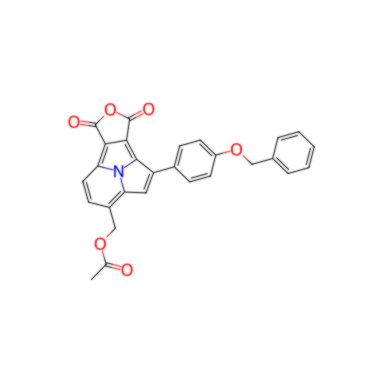 CC(=O)OCc1ccc2c3c(c4c(-c5ccc(OCc6ccccc6)cc5)cc1n24)C(=O)OC3=O